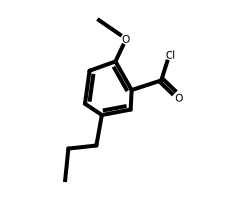 CCCc1ccc(OC)c(C(=O)Cl)c1